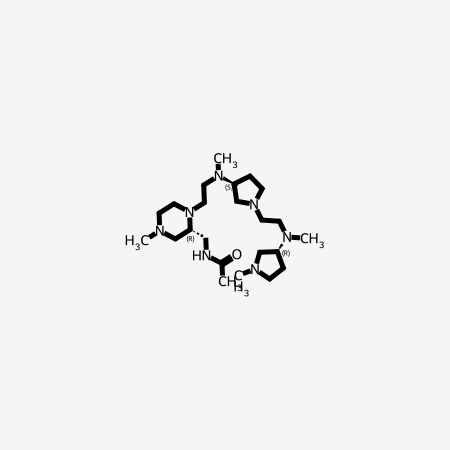 CC(=O)NC[C@@H]1CN(C)CCN1CCN(C)[C@H]1CCN(CCN(C)[C@@H]2CCN(C)C2)C1